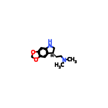 CN(C)CC[C@H]1CNc2cc3c(cc21)OCO3